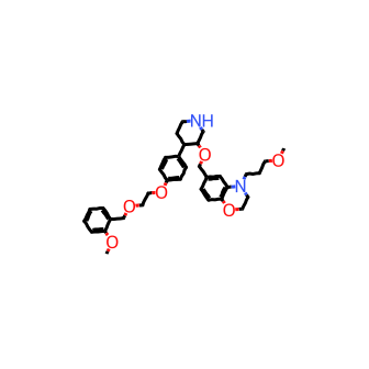 COCCCN1CCOc2ccc(COC3CNCCC3c3ccc(OCCOCc4ccccc4OC)cc3)cc21